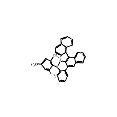 Cc1cc(C)c(B2c3ccccc3-c3cc4ccccc4c4c5c6ccccc6ccc5n2c34)c(C)c1